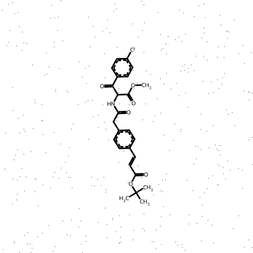 COC(=O)C(NC(=O)Cc1ccc(/C=C/C(=O)OC(C)(C)C)cc1)C(=O)c1ccc(Cl)cc1